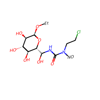 CCO[C@H]1O[C@H](C(O)NC(=O)N(CCCl)N=O)[C@@H](O)[C@H](O)[C@H]1O